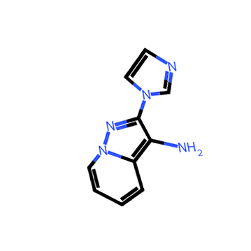 Nc1c(-n2ccnc2)nn2ccccc12